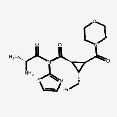 CC(C)C[C@H]1C(C(=O)N2CCOCC2)[C@@H]1C(=O)N(C(=O)[C@@H](C)N)c1nccs1